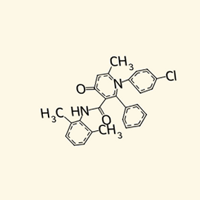 Cc1cccc(C)c1NC(=O)c1c(-c2ccccc2)n(-c2ccc(Cl)cc2)c(C)cc1=O